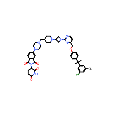 CC(C)(c1ccc(OCc2ccnc(N3CC(N4CCC(CN5CCN(c6ccc7c(c6)C(=O)N(C6CCC(=O)NC6=O)C7=O)CC5)CC4)C3)n2)cc1)c1cc(Cl)cc(C#N)c1